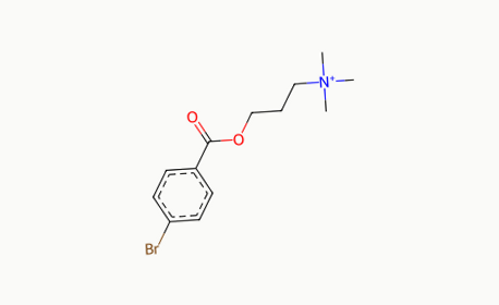 C[N+](C)(C)CCCOC(=O)c1ccc(Br)cc1